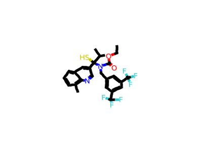 CCOC(=O)N(Cc1cc(C(F)(F)F)cc(C(F)(F)F)c1)C(S)(c1cnc2c(C)cccc2c1)C(C)C